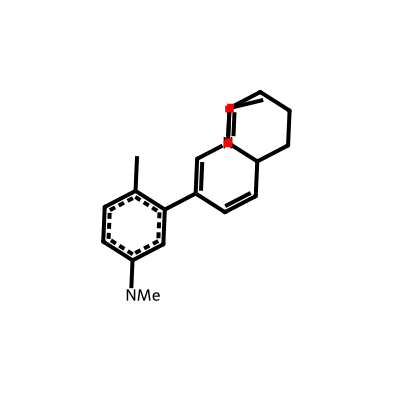 C/C=N/C=C(\C=C/C1CCCCC1)c1cc(NC)ccc1C